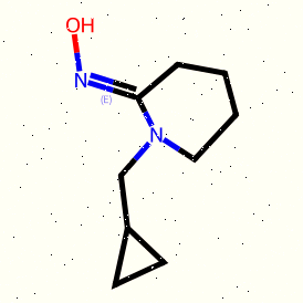 O/N=C1\CCCCN1CC1CC1